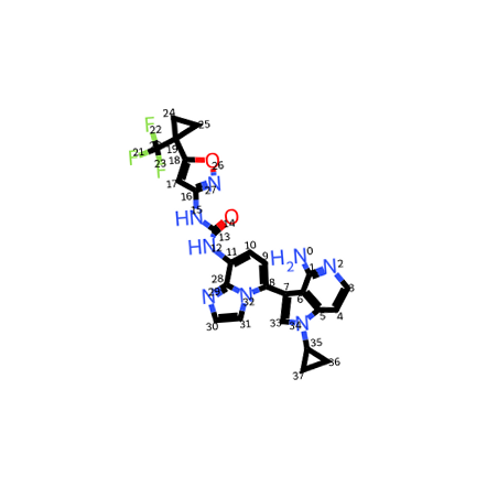 Nc1nccc2c1c(-c1ccc(NC(=O)Nc3cc(C4(C(F)(F)F)CC4)on3)c3nccn13)cn2C1CC1